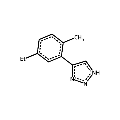 CCc1ccc(C)c(-c2c[nH]nn2)c1